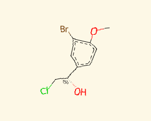 COc1ccc([C@H](O)CCl)cc1Br